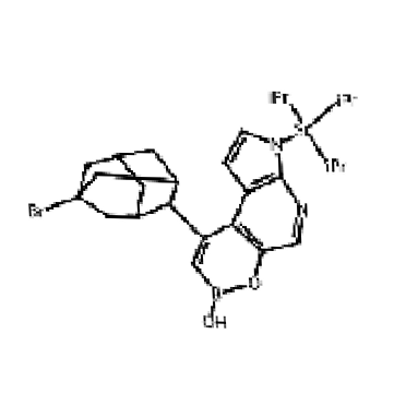 CC(C)[Si](C(C)C)(C(C)C)n1ccc2c3c(cnc21)OB(O)C=C3C1C2CC3CC1CC(Br)(C3)C2